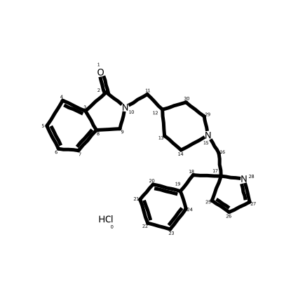 Cl.O=C1c2ccccc2CN1CC1CCN(CC2(Cc3ccccc3)C=CC=N2)CC1